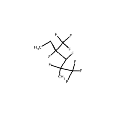 CCC(F)(C(F)C(C)(F)C(F)(F)F)C(F)(F)F